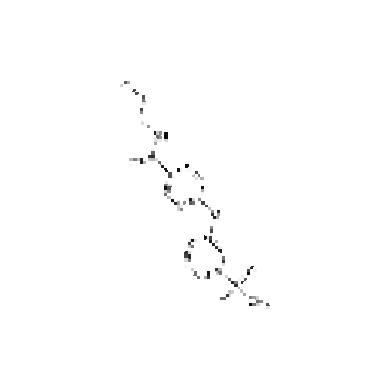 CC(C)CCNC(=O)c1ccc(Oc2cccc(S(C)(=O)=O)c2)nc1